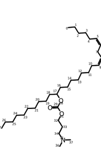 CCCCC/C=C\C/C=C\CCCCCCCC(CCCCCCCCCC)OC(=O)OCCCN(C)C